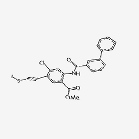 COC(=O)c1cc(C#CSI)c(Cl)cc1NC(=O)c1cccc(-c2ccccc2)c1